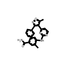 Cc1cc(C(N)=O)ccc1Nc1nccc(-c2c(-c3ccccc3)noc2C)n1